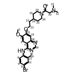 COc1cc2c(Nc3ccc(Br)cc3F)ncnc2cc1OCCC1CCN(C(=O)CN(C)C)CC1